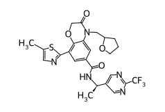 Cc1cnc(-c2cc(C(=O)N[C@H](C)c3cnc(C(F)(F)F)nc3)cc3c2OCC(=O)N3CC2CCCO2)s1